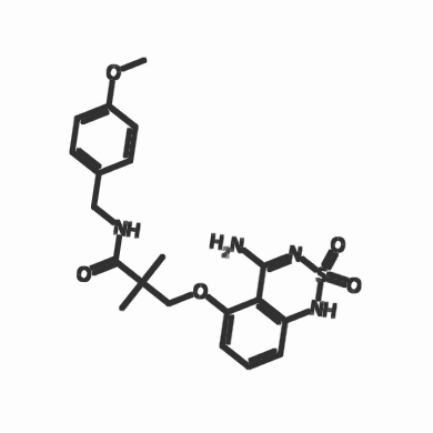 COc1ccc(CNC(=O)C(C)(C)COc2cccc3c2C(N)=NS(=O)(=O)N3)cc1